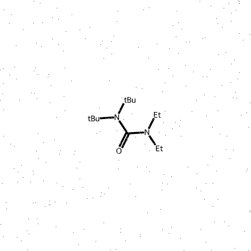 CCN(CC)C(=O)N(C(C)(C)C)C(C)(C)C